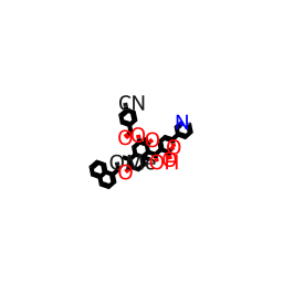 COC(OC1CCC2(C)C(CC(OC(=O)c3ccc(C#N)cc3)C3(C)Oc4cc(-c5cccnc5)oc(=O)c4C(O)C23)C1C)c1cccc2ccccc12